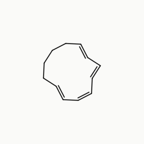 C1=C\C=C\CCCC/C=C/C=C/1